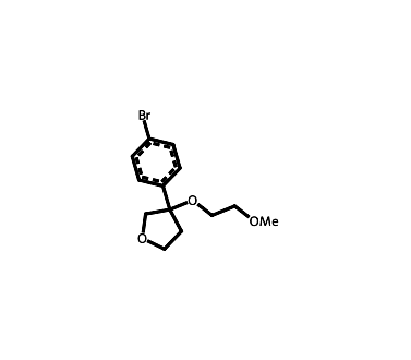 COCCOC1(c2ccc(Br)cc2)CCOC1